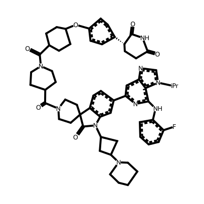 CC(C)n1cnc2cc(-c3ccc4c(c3)N(C3CC(N5CCCCC5)C3)C(=O)C43CCN(C(=O)C4CCN(C(=O)C5CCC(Oc6ccc([C@H]7CCC(=O)NC7=O)cc6)CC5)CC4)CC3)nc(Nc3ccccc3F)c21